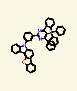 c1ccc(-c2nc(-c3cccc(-n4c5ccccc5c5c6oc7ccccc7c6ccc54)c3)nc3c2[Si](c2ccccc2)(c2ccccc2)c2ccccc2-3)cc1